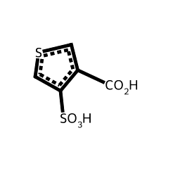 O=C(O)c1cscc1S(=O)(=O)O